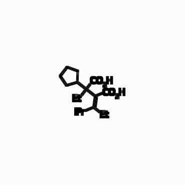 CCC(=C(C(=O)O)C(CC)(C(=O)O)C1CCCC1)C(C)C